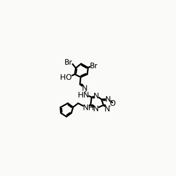 Oc1c(Br)cc(Br)cc1C=NNc1nc2nonc2nc1NCc1ccccc1